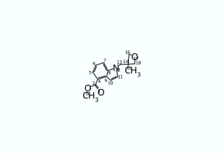 COC(=O)c1cccc2c1ccn2CC1(C)COC1